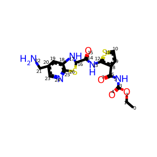 CCOC(=O)NC(=O)c1ccsc1NC(=O)C1Nc2cc(CN)cnc2S1